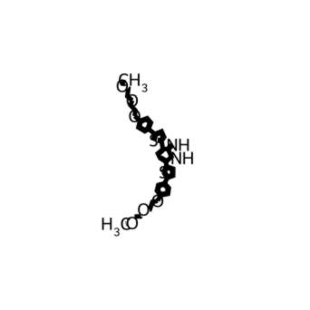 COCCOCCOc1ccc(-c2ccc(C3=CC=C(c4ccc(-c5ccc(OCCOCCOC)cc5)s4)C(=N)C3=N)s2)cc1